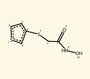 O=C(CSc1ccsc1)NO